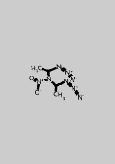 CC(N=[N+]=[N-])N(C(C)N=[N+]=[N-])[N+](=O)[O-]